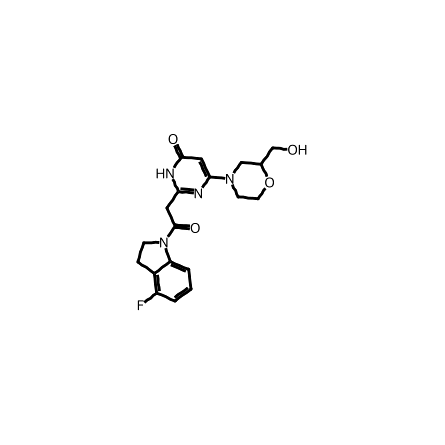 O=C(Cc1nc(N2CCOC(CO)C2)cc(=O)[nH]1)N1CCc2c(F)cccc21